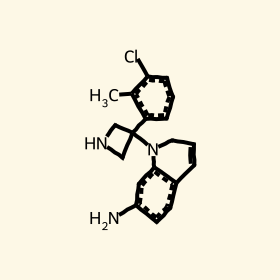 Cc1c(Cl)cccc1C1(N2CC=Cc3ccc(N)cc32)CNC1